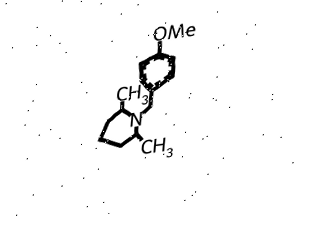 COc1ccc(CN2C(C)CCCC2C)cc1